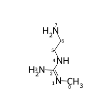 CN=C(N)NCCN